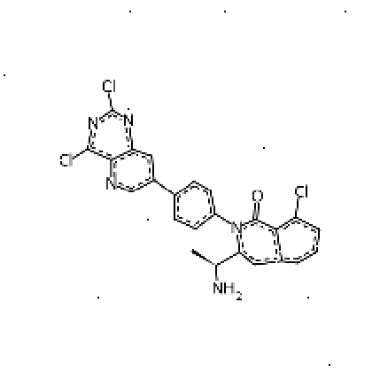 C[C@H](N)c1cc2cccc(Cl)c2c(=O)n1-c1ccc(-c2cnc3c(Cl)nc(Cl)nc3c2)cc1